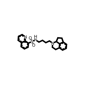 O=S(=O)(NCCCCN1CCc2cccc3c2C1CC3)c1cccc2cccnc12